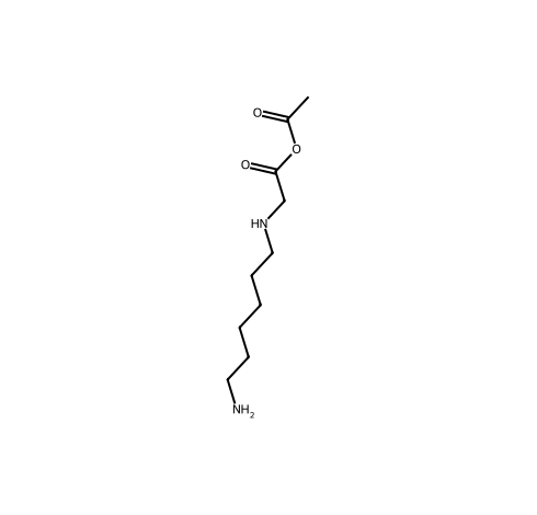 CC(=O)OC(=O)CNCCCCCCN